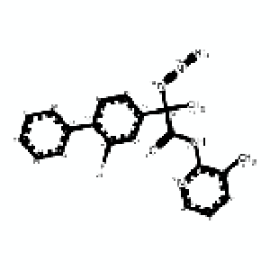 Cc1cccnc1NC(=O)C(C)(N=[N+]=[N-])c1ccc(-c2ccccc2)c(F)c1